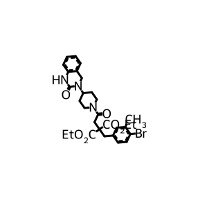 CCOC(=O)C(CC(=O)N1CCC(N2Cc3ccccc3NC2=O)CC1)(Cc1ccc(Br)c(C)c1)C(=O)OCC